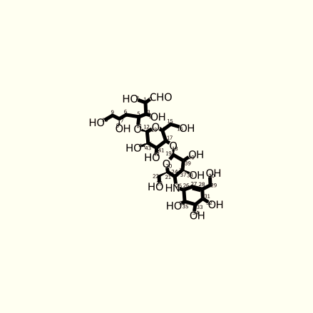 O=CC(O)C(O)C(C[C@H](O)CO)O[C@H]1OC(CO)C(O[C@@H]2O[C@H](CO)C(NC3C=C(CO)C(O)C(O)C3O)[C@H](O)C2O)C(O)[C@H]1O